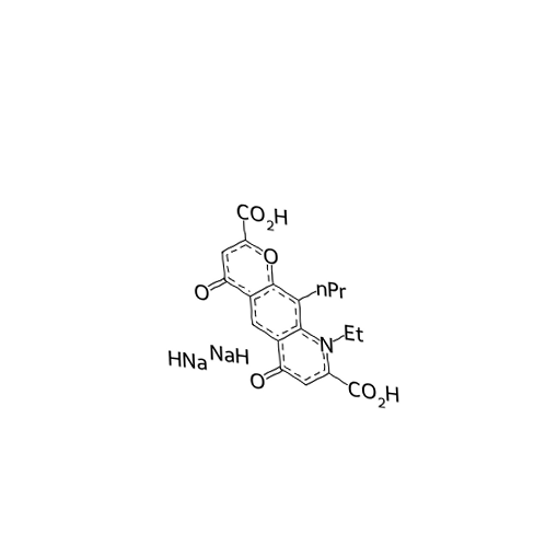 CCCc1c2oc(C(=O)O)cc(=O)c2cc2c(=O)cc(C(=O)O)n(CC)c12.[NaH].[NaH]